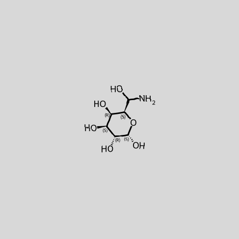 NC(O)[C@H]1O[C@H](O)[C@H](O)[C@@H](O)[C@H]1O